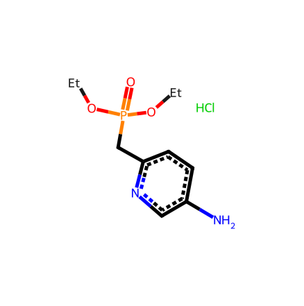 CCOP(=O)(Cc1ccc(N)cn1)OCC.Cl